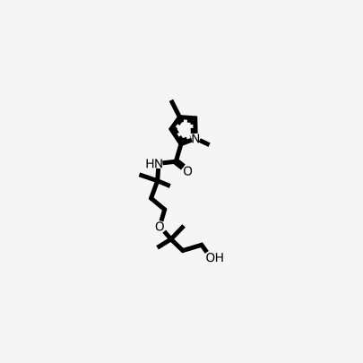 Cc1cc(C(=O)NC(C)(C)CCOC(C)(C)CCO)n(C)c1